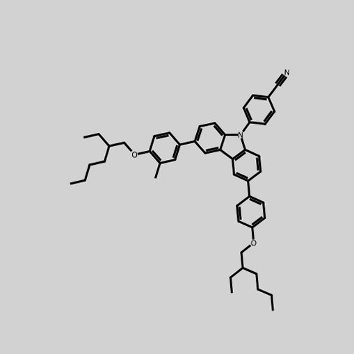 CCCCC(CC)COc1ccc(-c2ccc3c(c2)c2cc(-c4ccc(OCC(CC)CCCC)c(C)c4)ccc2n3-c2ccc(C#N)cc2)cc1